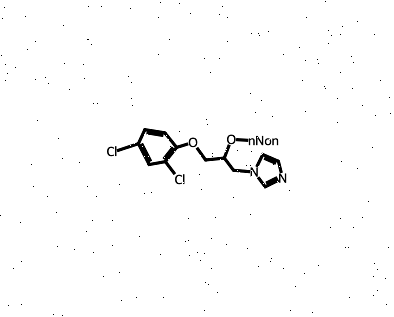 CCCCCCCCCOC(COc1ccc(Cl)cc1Cl)Cn1ccnc1